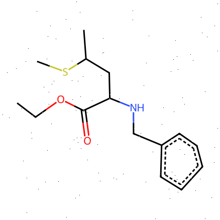 CCOC(=O)C(CC(C)SC)NCc1ccccc1